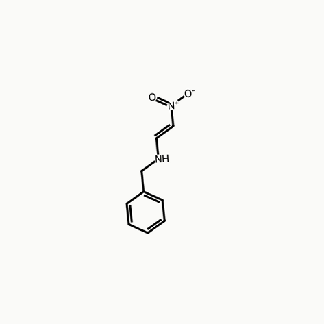 O=[N+]([O-])C=CNCc1ccccc1